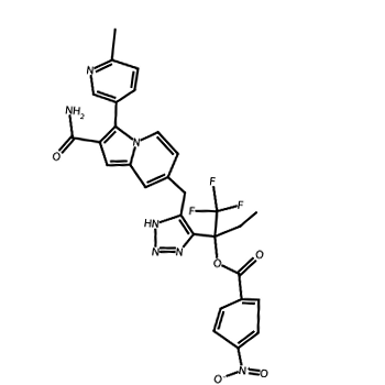 CCC(OC(=O)c1ccc([N+](=O)[O-])cc1)(c1nn[nH]c1Cc1ccn2c(-c3ccc(C)nc3)c(C(N)=O)cc2c1)C(F)(F)F